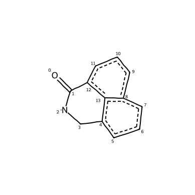 O=C1[N]Cc2cccc3cccc1c23